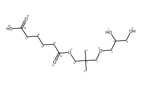 CC(C)(COCC(O)CO)COC(=O)CCCCC(=O)O